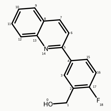 OCc1cc(-c2ccc3ccccc3n2)ccc1F